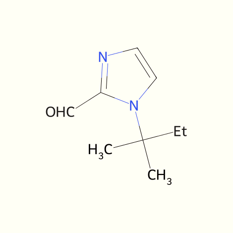 CCC(C)(C)n1ccnc1C=O